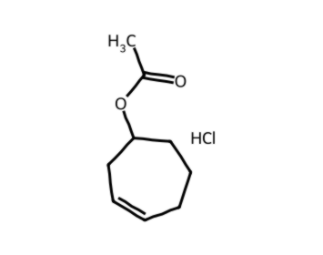 CC(=O)OC1CC=CCCC1.Cl